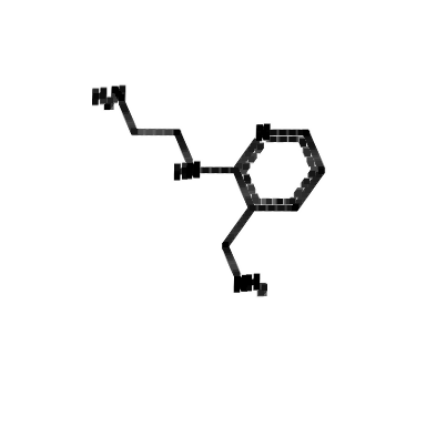 NCCNc1ncccc1CN